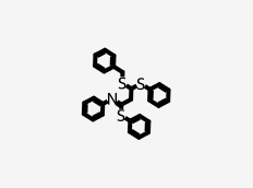 c1ccc(CSC(CC(=Nc2ccccc2)Sc2ccccc2)Sc2ccccc2)cc1